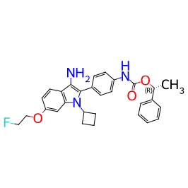 C[C@@H](OC(=O)Nc1ccc(-c2c(N)c3ccc(OCCF)cc3n2C2CCC2)cc1)c1ccccc1